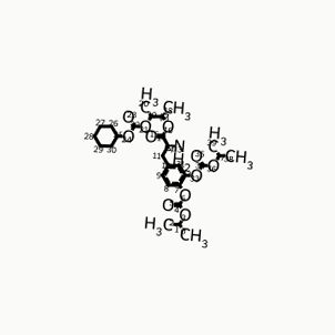 CC(C)OC(=O)Oc1ccc(C[C@H](N)C(=O)O[C@@H](C)C(C)OC(=O)OC2CCCCC2)cc1OC(=O)OC(C)C